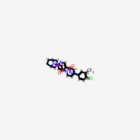 NC(=O)c1ccc(N2C3CCC2CN(CC(=O)N2CC=C(c4ccc(Cl)c(C(F)(F)F)c4)CC2)C3)nc1